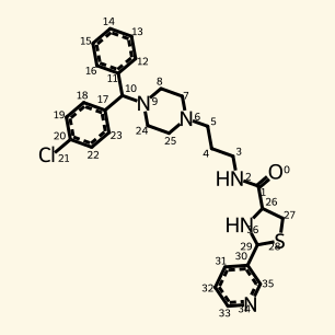 O=C(NCCCN1CCN(C(c2ccccc2)c2ccc(Cl)cc2)CC1)C1CSC(c2cccnc2)N1